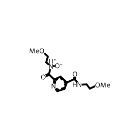 COCCNC(=O)c1ccnc(C(=O)[NH+]([O-])CCOC)c1